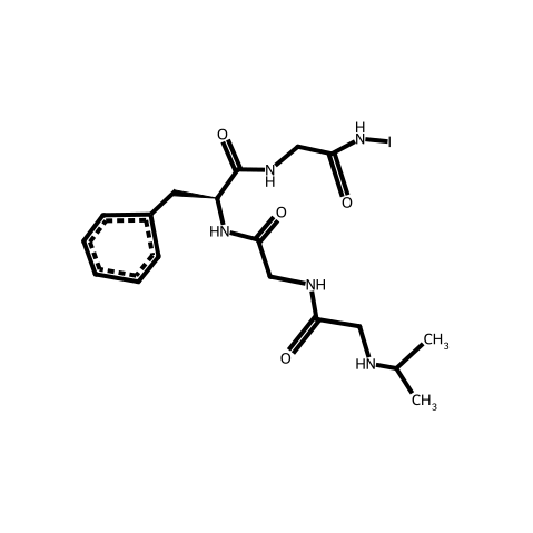 CC(C)NCC(=O)NCC(=O)N[C@@H](Cc1ccccc1)C(=O)NCC(=O)NI